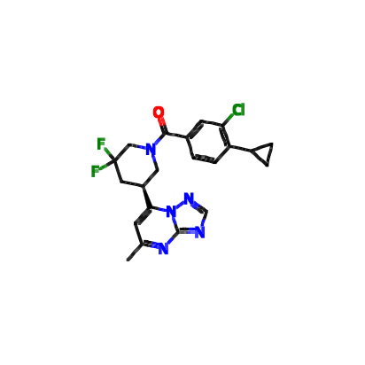 Cc1cc([C@@H]2CN(C(=O)c3ccc(C4CC4)c(Cl)c3)CC(F)(F)C2)n2ncnc2n1